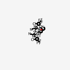 N#Cc1nn(-c2c(Cl)cc(C(F)(F)F)cc2Cl)c(NCc2ccccn2)c1SSc1c(C#N)nn(-c2c(Cl)cc(C(F)(F)F)cc2Cl)c1NCc1ccccn1